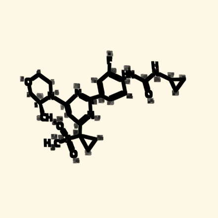 C[C@H]1COCCN1c1cc(C2(S(C)(=O)=O)CC2)nc(-c2ccc(NC(=O)NC3CC3)c(F)c2)n1